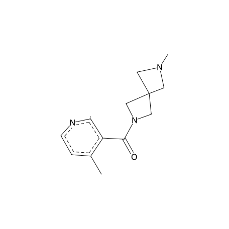 Cc1ccn[c]c1C(=O)N1CC2(CN(C)C2)C1